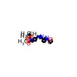 COC(=O)c1cc2ccc(Cn3cnc(-c4cccc5c4cnn5C4CCCCO4)c3)cc2n1C(=O)OC(C)(C)C